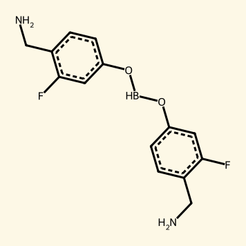 NCc1ccc(OBOc2ccc(CN)c(F)c2)cc1F